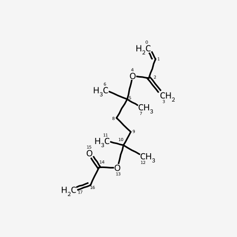 C=CC(=C)OC(C)(C)CCC(C)(C)OC(=O)C=C